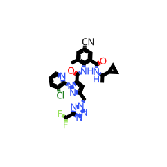 Cc1cc(C#N)cc(C(=O)NC(C)C2CC2)c1NC(=O)c1cc(Cn2nnc(C(F)F)n2)nn1-c1ncccc1Cl